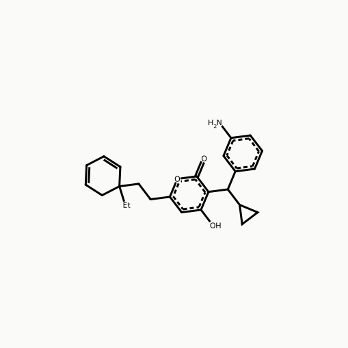 CCC1(CCc2cc(O)c(C(c3cccc(N)c3)C3CC3)c(=O)o2)C=CC=CC1